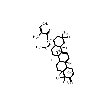 C/C=C(/C)C(=O)O[C@@H]1CC(C)(C)C[C@H]2C3=CC[C@@H]4[C@@]5(C)CCC(=O)C(C)(C)[C@@H]5CC[C@@]4(C)[C@]3(C)CC[C@@]12C(=O)OC